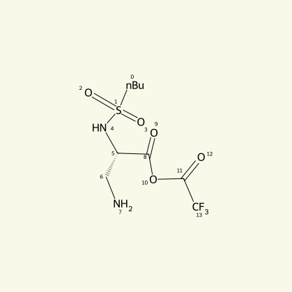 CCCCS(=O)(=O)N[C@@H](CN)C(=O)OC(=O)C(F)(F)F